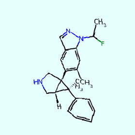 Cc1cc2c(cnn2C(C)F)cc1[C@]12CNC[C@H]1[C@]2(C)c1ccccc1